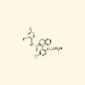 O=C(O)COc1ccc(Cl)cc1C1c2ccccc2CCN1C(=O)[C@@H]1C[C@H]1c1ccc(Cl)cc1Cl